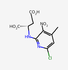 Cc1cc(Cl)nc(N[C@@H](CC(=O)O)C(=O)O)c1[N+](=O)[O-]